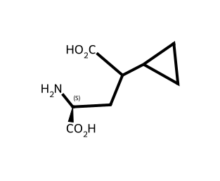 N[C@@H](CC(C(=O)O)C1CC1)C(=O)O